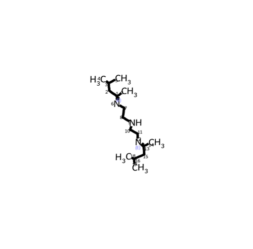 C/C(CC(C)C)=N\CCNCC/N=C(\C)CC(C)C